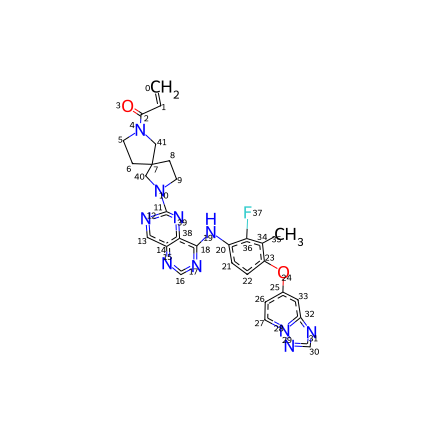 C=CC(=O)N1CCC2(CCN(c3ncc4ncnc(Nc5ccc(Oc6ccn7ncnc7c6)c(C)c5F)c4n3)C2)C1